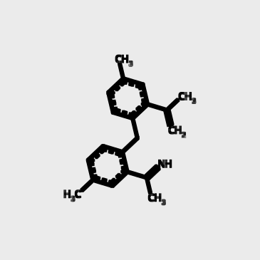 C=C(C)c1cc(C)ccc1Cc1ccc(C)cc1C(C)=N